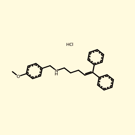 COc1ccc(CNCCCC=C(c2ccccc2)c2ccccc2)cc1.Cl